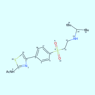 CC(=O)Nc1nc(-c2ccc(S(=O)(=O)CCNC(C(C)(C)C)C(C)(C)C)cc2)cs1